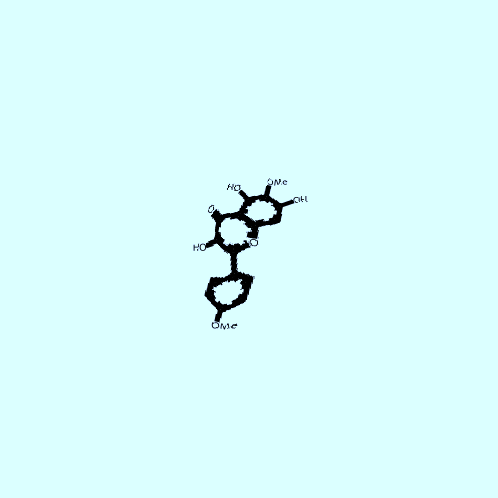 COc1ccc(-c2oc3cc(O)c(OC)c(O)c3c(=O)c2O)cc1